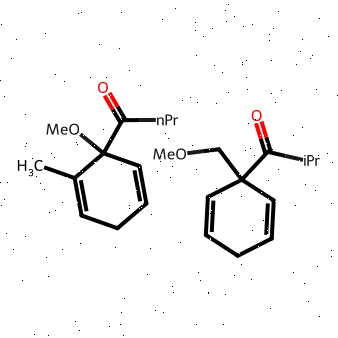 CCCC(=O)C1(OC)C=CCC=C1C.COCC1(C(=O)C(C)C)C=CCC=C1